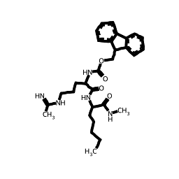 CCCCCC(NC(=O)C(CCCNC(C)=N)NC(=O)OCC1c2ccccc2-c2ccccc21)C(=O)NC